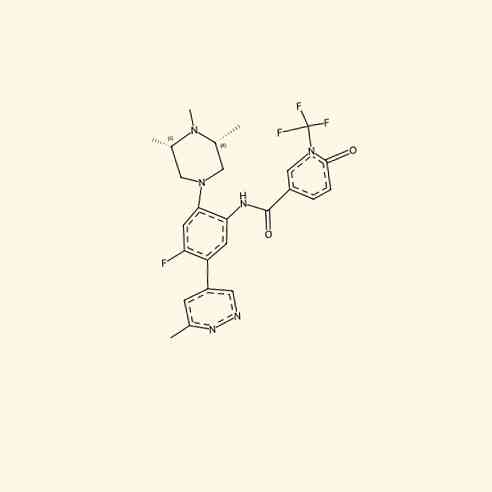 Cc1cc(-c2cc(NC(=O)c3ccc(=O)n(C(F)(F)F)c3)c(N3C[C@@H](C)N(C)[C@@H](C)C3)cc2F)cnn1